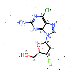 Nc1nc(Cl)c2ncn([C@H]3C[C@H](F)[C@@H](CO)O3)c2n1